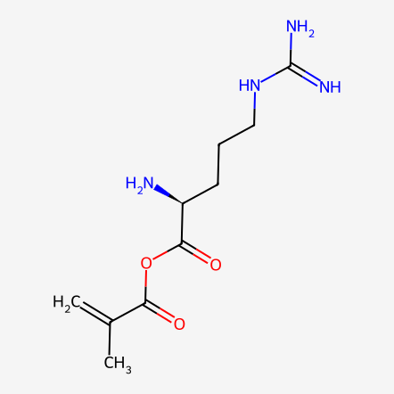 C=C(C)C(=O)OC(=O)[C@@H](N)CCCNC(=N)N